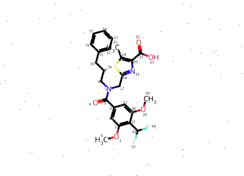 COc1cc(C(=O)N(CCCc2ccccc2)Cc2nc(C(=O)O)c(C)s2)cc(OC)c1C(F)F